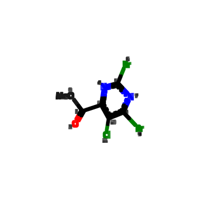 COC(=O)c1nc(Br)nc(Br)c1Cl